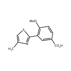 COc1ccc(C(=O)O)cc1-c1nc(C)cs1